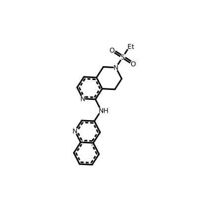 CCS(=O)(=O)N1CCc2c(ccnc2Nc2cnc3ccccc3c2)C1